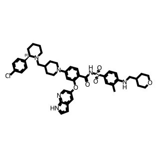 Cc1cc(S(=O)(=O)NC(=O)c2ccc(N3CCC(CN4CCCC[C@@H]4c4ccc(Cl)cc4)CC3)cc2Oc2cnc3[nH]ccc3c2)ccc1NCC1CCOCC1